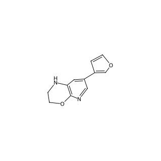 c1cc(-c2cnc3c(c2)NCCO3)co1